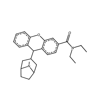 CCN(CC)C(=O)c1ccc2c(c1)Oc1ccccc1C2C1CC2CCC(C1)N2C